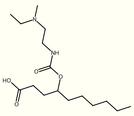 CCCCCCC(CCC(=O)O)OC(=O)NCCN(C)CC